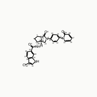 O=C(N[C@@H]1CCN2C(=O)N(c3ccc(-n4ccccc4=O)cc3)C[C@H]12)c1ccc2c(Cl)c[nH]c2c1